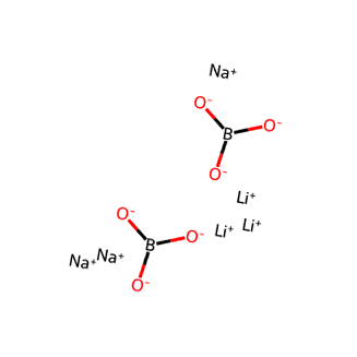 [Li+].[Li+].[Li+].[Na+].[Na+].[Na+].[O-]B([O-])[O-].[O-]B([O-])[O-]